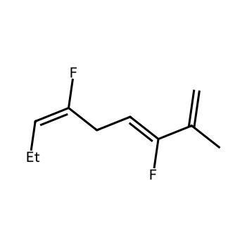 C=C(C)C(F)=CC/C(F)=C\CC